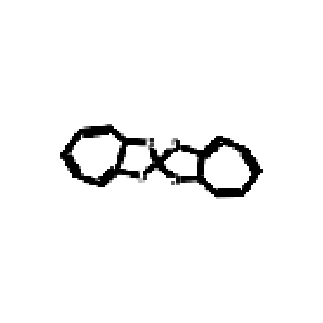 C1=CC=C2OC3(OC4=CC=CC=CC4O3)OC2C=C1